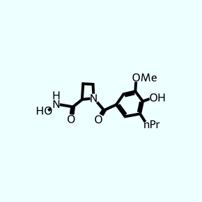 CCCc1cc(C(=O)N2CCC2C(=O)NO)cc(OC)c1O